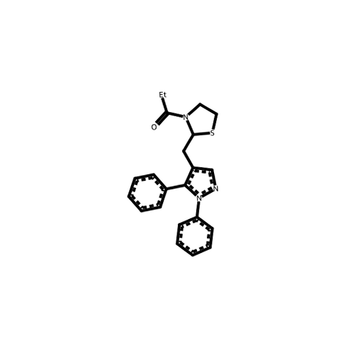 CCC(=O)N1CCSC1Cc1cnn(-c2ccccc2)c1-c1ccccc1